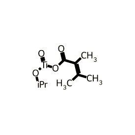 CC(C)=C(C)C(=O)[O][Ti](=[O])[O]C(C)C